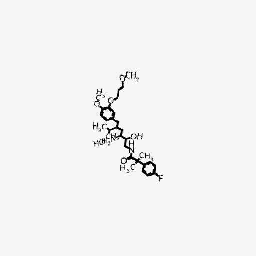 COCCCOc1cc(CC(CC(N)C(O)CNC(=O)C(C)(C)c2ccc(F)cc2)C(C)C)ccc1OC.Cl